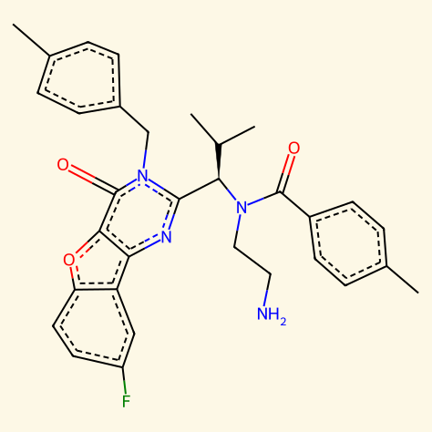 Cc1ccc(Cn2c([C@@H](C(C)C)N(CCN)C(=O)c3ccc(C)cc3)nc3c(oc4ccc(F)cc43)c2=O)cc1